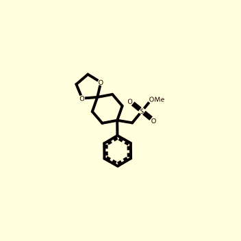 COS(=O)(=O)CC1(c2ccccc2)CCC2(CC1)OCCO2